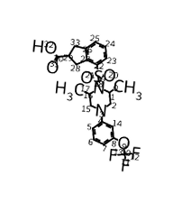 CC1CN(c2cccc(OC(F)(F)F)c2)CC(C)N1S(=O)(=O)c1cccc2c1CC(C(=O)O)C2